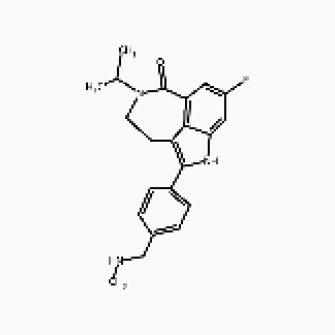 CNCc1ccc(-c2[nH]c3cc(F)cc4c3c2CCN(C(C)C)C4=O)cc1